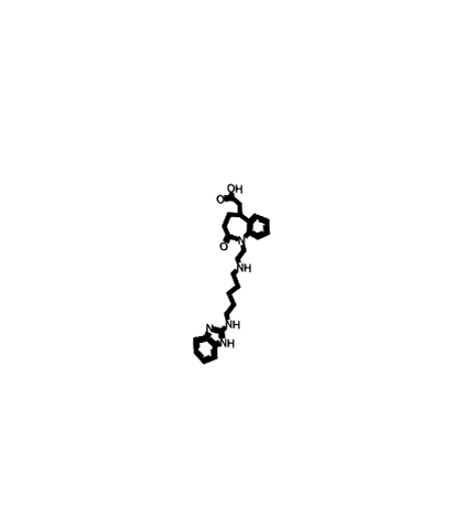 O=C(O)CC1CCC(=O)N(CCNCCCCCNc2nc3ccccc3[nH]2)c2ccccc21